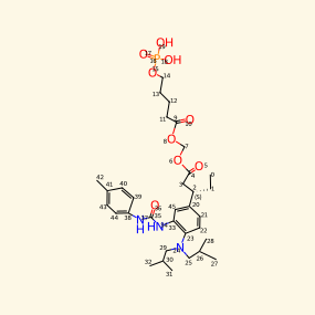 CC[C@@H](CC(=O)OCOC(=O)CCCCOP(=O)(O)O)c1ccc(N(CC(C)C)CC(C)C)c(NC(=O)Nc2ccc(C)cc2)c1